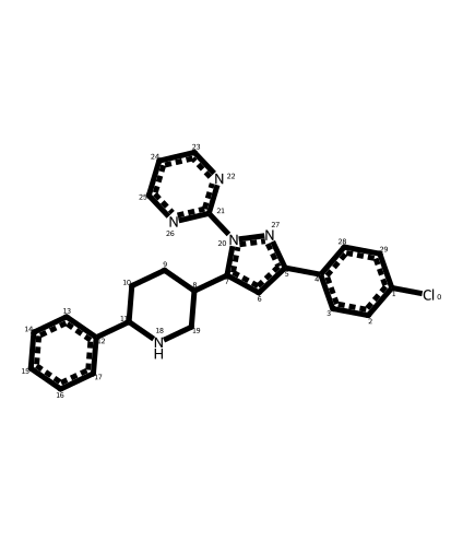 Clc1ccc(-c2cc(C3CCC(c4ccccc4)NC3)n(-c3ncccn3)n2)cc1